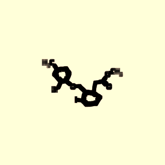 COC(=O)Cc1cccc(I)c1COc1ccc(C)cc1Br